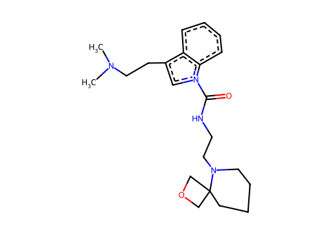 CN(C)CCc1cn(C(=O)NCCN2CCCCC23COC3)c2ccccc12